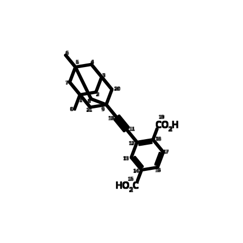 CC12CC3CC(C)(C1)CC(C#Cc1cc(C(=O)O)ccc1C(=O)O)(C3)C2